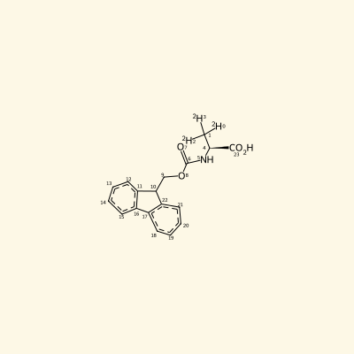 [2H]C([2H])([2H])[C@H](NC(=O)OCC1c2ccccc2-c2ccccc21)C(=O)O